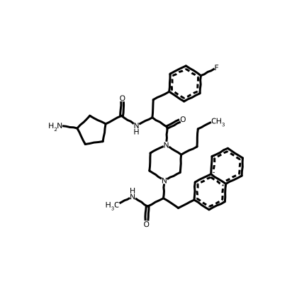 CCCC1CN(C(Cc2ccc3ccccc3c2)C(=O)NC)CCN1C(=O)C(Cc1ccc(F)cc1)NC(=O)C1CCC(N)C1